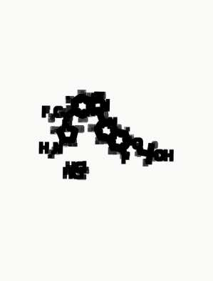 CC(C)(O)COc1cc2nc(-c3nnc4ccc([C@@H](N5CC[C@H](N)C5)C(F)(F)F)cn34)ccc2cc1F.Cl.Cl